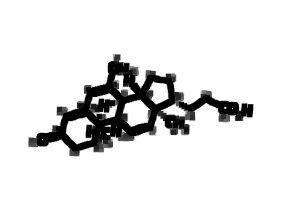 C[C@]12C=C[C@H]3[C@@H](C(O)=CC4=CC(=O)CC[C@@]43C)[C@@H]1CC[C@@H]2CCC(=O)O